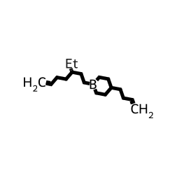 C=CCCC(CC)CCB1CCC(CCC=C)CC1